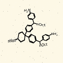 CCCCCCCCCC1CCC(c2ccc(C(CCCCCCCC)c3ccc(N)cc3)cc2)(c2ccc(C(CCCCCCCC)c3ccc(N)cc3)cc2)CC1